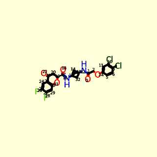 O=C(COc1ccc(Cl)c(Cl)c1)NC12CC(NC(=O)[C@@H]3CC(=O)c4cc(F)c(F)cc4O3)(C1)C2